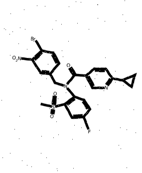 CS(=O)(=O)c1cc(F)ccc1N(Cc1ccc(Br)c([N+](=O)[O-])c1)C(=O)c1ccc(C2CC2)nc1